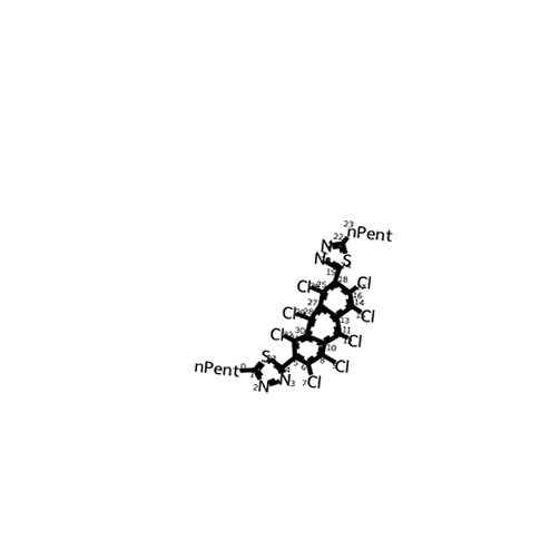 CCCCCc1nnc(-c2c(Cl)c(Cl)c3c(Cl)c4c(Cl)c(Cl)c(-c5nnc(CCCCC)s5)c(Cl)c4c(Cl)c3c2Cl)s1